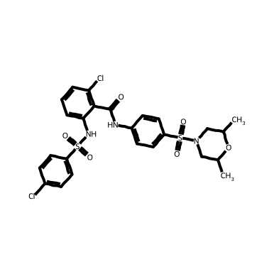 CC1CN(S(=O)(=O)c2ccc(NC(=O)c3c(Cl)cccc3NS(=O)(=O)c3ccc(Cl)cc3)cc2)CC(C)O1